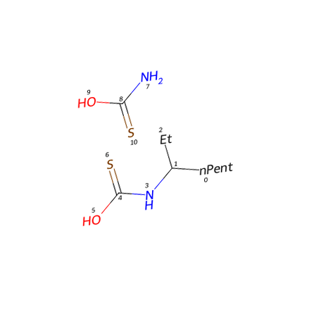 CCCCCC(CC)NC(O)=S.NC(O)=S